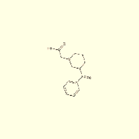 O=C(O)CN1CCCC(C(=O)c2ccccc2)C1